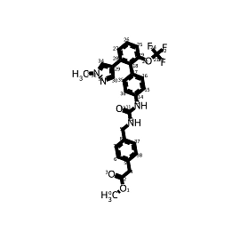 COC(=O)Cc1ccc(CNC(=O)Nc2ccc(-c3c(OC(F)(F)F)cccc3-c3cnn(C)c3)cc2)cc1